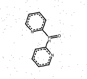 O=[PH](c1ccccn1)c1ccccn1